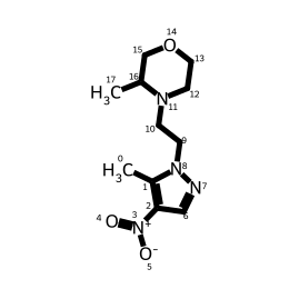 Cc1c([N+](=O)[O-])cnn1CCN1CCOCC1C